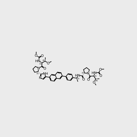 COC(=O)N[C@H](C(=O)N1CCC[C@H]1C(=O)N[C@@H](C)c1ccc(-c2ccc3cc(-c4cnc([C@@H]5CCCN5C(=O)[C@@H](NC(=O)OC)[C@@H](C)OC)[nH]4)ccc3c2)cc1)[C@@H](C)OC